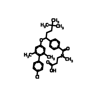 Cc1cc(OC(CCC(C)(C)C)c2ccc(C(=O)N(C)CCC(=O)O)cc2)cc(C)c1-c1ccc(Cl)cc1